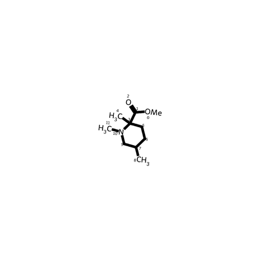 COC(=O)C1(C)CCC(C)CN1C